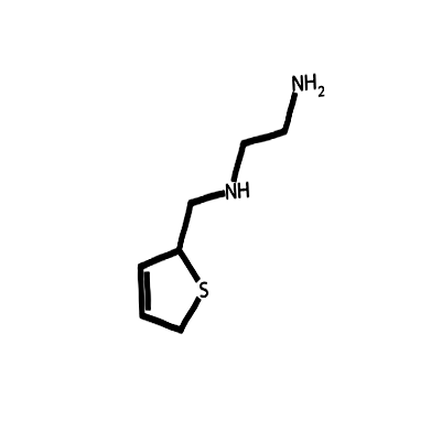 NCCNCC1C=CCS1